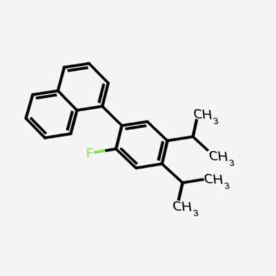 CC(C)c1cc(F)c(-c2cccc3ccccc23)cc1C(C)C